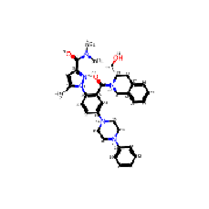 CCCCN(CCCC)C(=O)c1cc(C)n(-c2ccc(N3CCN(c4ccccc4)CC3)cc2C(=O)N2Cc3ccccc3C[C@H]2CO)n1